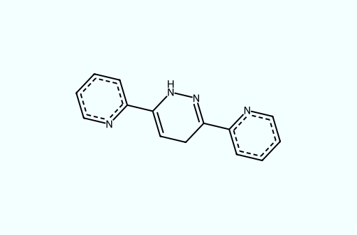 C1=C(c2ccccn2)NN=C(c2ccccn2)C1